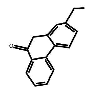 CCc1ccc2c(c1)CC(=O)c1ccccc1-2